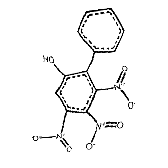 O=[N+]([O-])c1cc(O)c(-c2ccccc2)c([N+](=O)[O-])c1[N+](=O)[O-]